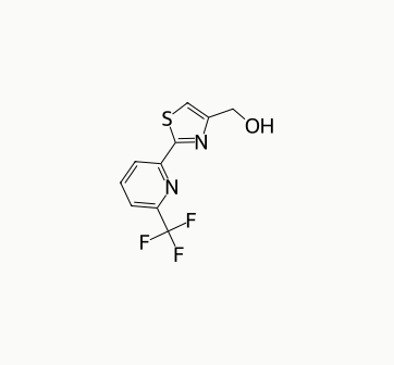 OCc1csc(-c2cccc(C(F)(F)F)n2)n1